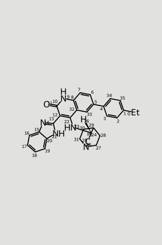 CCc1ccc(-c2ccc3[nH]c(=O)c(-c4nc5ccccc5[nH]4)c(N[C@H]4CN5CCC4CC5)c3c2)cc1